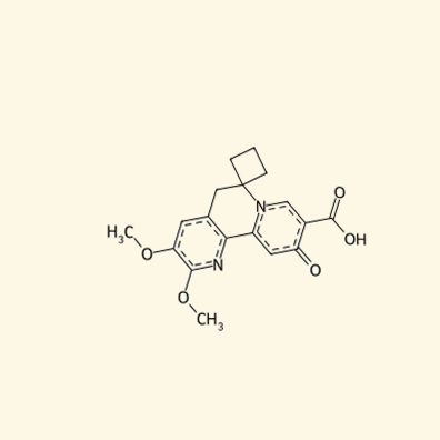 COc1cc2c(nc1OC)-c1cc(=O)c(C(=O)O)cn1C1(CCC1)C2